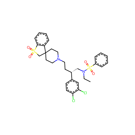 CCN(C[C@@H](CCN1CCC2(CC1)CS(=O)(=O)c1ccccc12)c1ccc(Cl)c(Cl)c1)S(=O)(=O)c1ccccc1